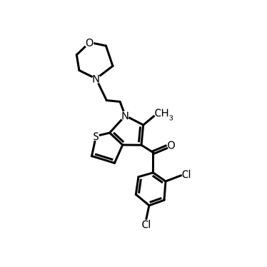 Cc1c(C(=O)c2ccc(Cl)cc2Cl)c2ccsc2n1CCN1CCOCC1